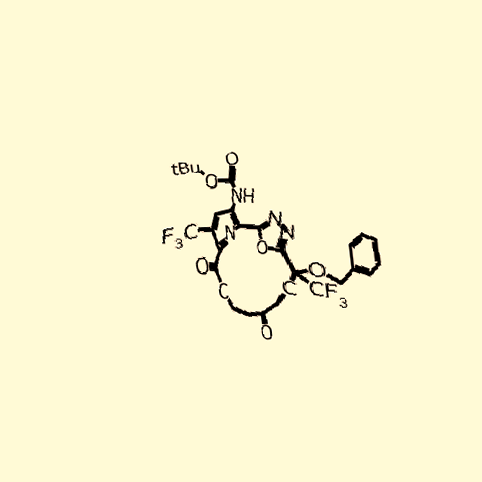 CC(C)(C)OC(=O)Nc1cc(C(F)(F)F)c2nc1-c1nnc(o1)C(OCc1ccccc1)(C(F)(F)F)CCC(=O)CCCC2=O